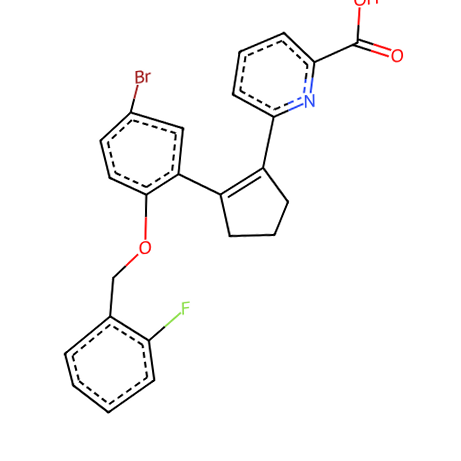 O=C(O)c1cccc(C2=C(c3cc(Br)ccc3OCc3ccccc3F)CCC2)n1